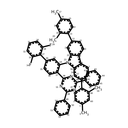 Cc1ccc(-c2ccc3c4ccc(-c5ccc(C)cc5C)cc4n(-c4cc(-c5c(F)cccc5F)ccc4-c4nc(-c5ccccc5)nc(-c5ccccc5)n4)c3c2)c(C)c1